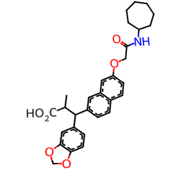 CC(C(=O)O)C(c1ccc2c(c1)OCO2)c1ccc2ccc(OCC(=O)NC3CCCCCC3)cc2c1